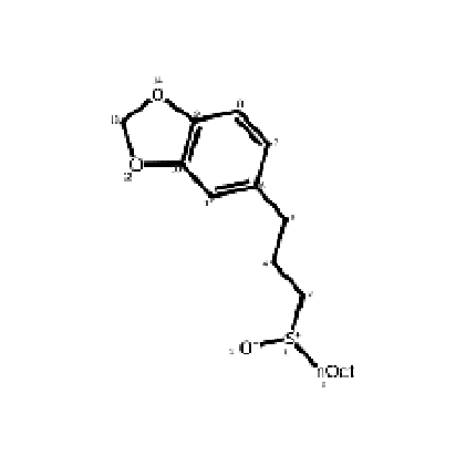 CCCCCCCC[S+]([O-])CCCc1ccc2c(c1)OCO2